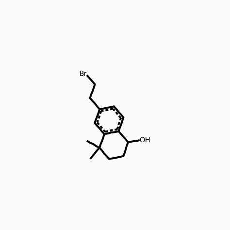 CC1(C)CCC(O)c2ccc(CCBr)cc21